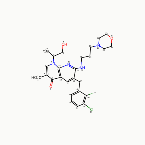 CC(C)(C)C(CO)n1cc(C(=O)O)c(=O)c2cc(Cc3cccc(Cl)c3F)c(NCCCN3CCOCC3)nc21